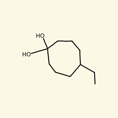 CCC1CCCC(O)(O)CCC1